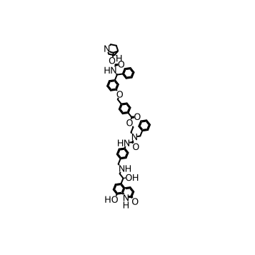 O=C(NC(c1ccccc1)c1cccc(OCc2ccc(C(=O)OCCN(Cc3ccccc3)C(=O)Nc3ccc(CNC[C@@H](O)c4ccc(O)c5[nH]c(=O)ccc45)cc3)cc2)c1)O[C@H]1CN2CCC1CC2